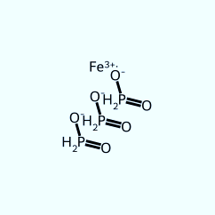 O=[PH2][O-].O=[PH2][O-].O=[PH2][O-].[Fe+3]